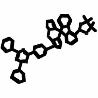 CC1(C)OB(c2cccc3c2-c2ccccc2C32C3=CC=CCC3Sc3c(-c4ccc(-c5nc(-c6ccccc6)nc(-c6ccccc6)n5)cc4)cccc32)OC1(C)C